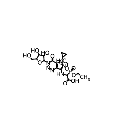 CCOP(=O)(OCC)C(Nc1nn(C2CC2)c2c(=O)n(C3OC(CO)C(O)C3O)nnc12)C(=O)O